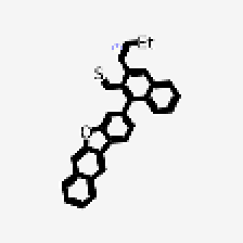 CC/C=C\c1cc2ccccc2c(-c2ccc3c(c2)oc2cc4ccccc4cc23)c1C=S